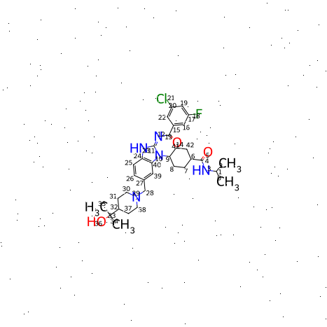 CC(C)NC(=O)C1CCC(n2/c(=N\C(=O)c3cc(F)cc(Cl)c3)[nH]c3ccc(CN4CCC(C(C)(C)O)CC4)cc32)CC1